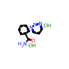 Cl.Cl.NC(=O)c1ccccc1.c1cnnnc1